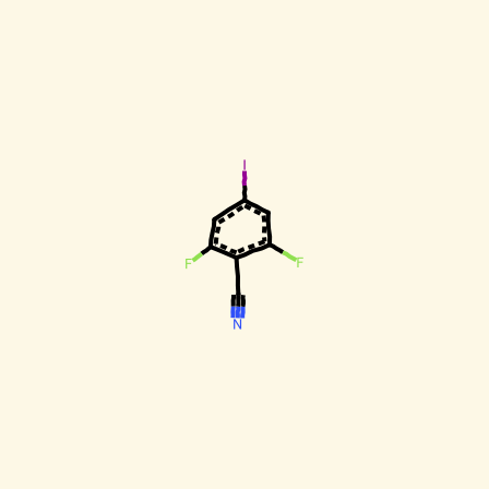 N#Cc1c(F)cc(I)cc1F